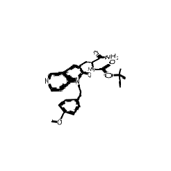 COc1ccc(Cn2c(=O)c(C[C@H](NC(=O)OC(C)(C)C)C(N)=O)cc3cnccc32)cc1